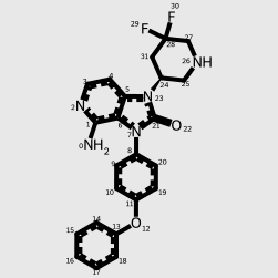 Nc1nccc2c1n(-c1ccc(Oc3ccccc3)cc1)c(=O)n2[C@@H]1CNCC(F)(F)C1